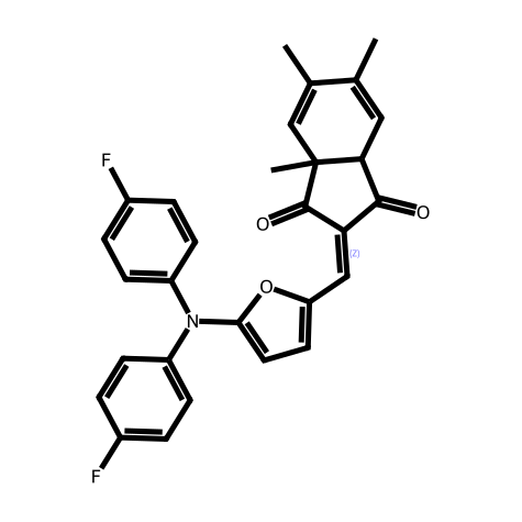 CC1=CC2C(=O)/C(=C/c3ccc(N(c4ccc(F)cc4)c4ccc(F)cc4)o3)C(=O)C2(C)C=C1C